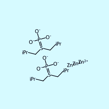 CC(C)CS(CC(C)C)=P([O-])([O-])[O-].CC(C)CS(CC(C)C)=P([O-])([O-])[O-].[Zn+2].[Zn+2].[Zn+2]